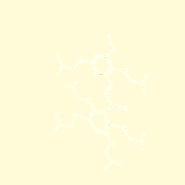 COc1cc(OCC(C)C)cc(C=CC(=O)c2c(OCC(C)C)c(OCC(C)C)cc(OCC(C)C)c2OCC(C)C)c1OCC(C)C